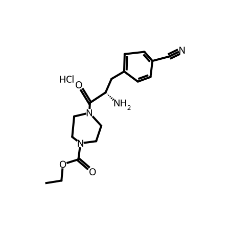 CCOC(=O)N1CCN(C(=O)[C@@H](N)Cc2ccc(C#N)cc2)CC1.Cl